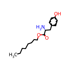 CCCCCCCCOC(=O)[C@H](N)Cc1ccc(O)cc1